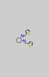 C(=N\[C@H]1CCCC[C@@H]1/N=C/c1cccs1)/c1cccs1